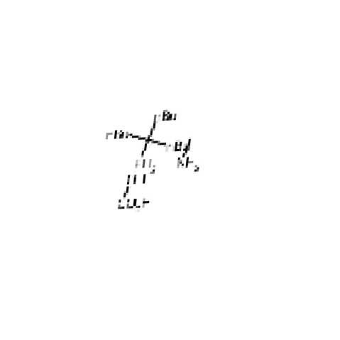 CCCCC(P)(CCCC)CCCC.CN.O=C(O)O